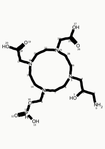 NCC(O)CN1CCN(CO[PH](=O)O)CCN(CC(=O)O)CCN(CC(=O)O)CC1